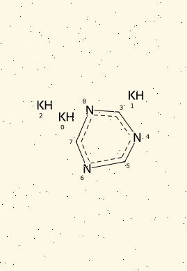 [KH].[KH].[KH].c1ncncn1